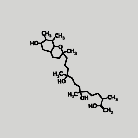 C=C(O)C(C)CCCC(C)(O)CCCC(C)(O)CCCC1(C)CCC2CC(O)C(C)C(C)C2O1